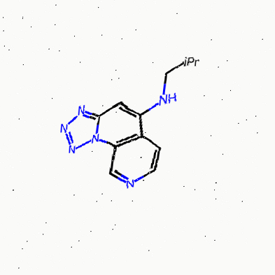 CC(C)CNc1cc2nnnn2c2cnccc12